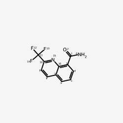 NC(=O)c1cccc2ccc(C(F)(F)F)nc12